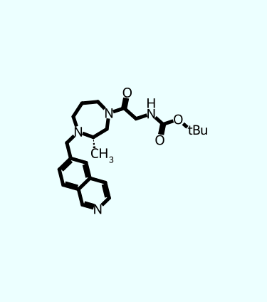 C[C@H]1CN(C(=O)CNC(=O)OC(C)(C)C)CCCN1Cc1ccc2cnccc2c1